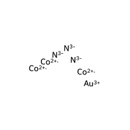 [Au+3].[Co+2].[Co+2].[Co+2].[N-3].[N-3].[N-3]